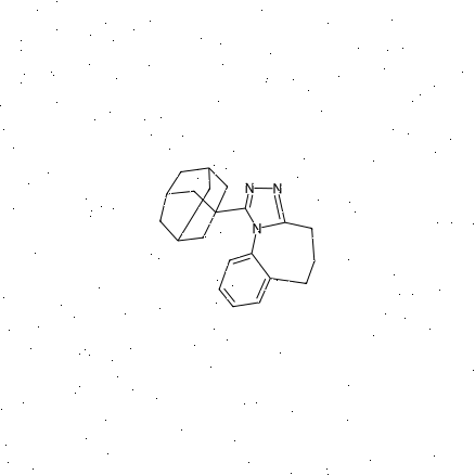 c1ccc2c(c1)CCCc1nnc(C34CC5CC(CC(C5)C3)C4)n1-2